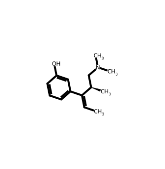 CC=C(c1cccc(O)c1)[C@H](C)CN(C)C